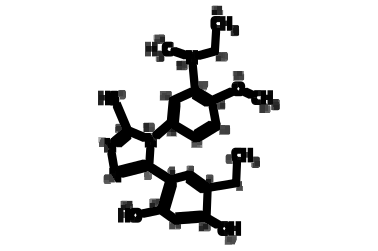 CCc1cc(-c2nnc(S)n2-c2ccc(OC)c(N(C)CC)c2)c(O)cc1O